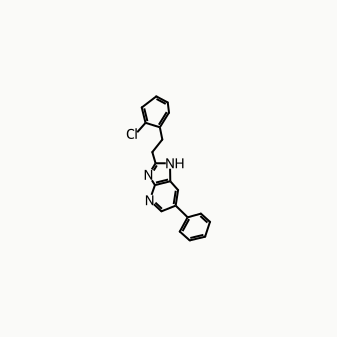 Clc1ccccc1CCc1nc2ncc(-c3ccccc3)cc2[nH]1